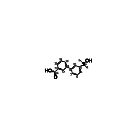 C[Si](C)(O)c1cccc(-c2cccc(C(=O)O)c2)c1